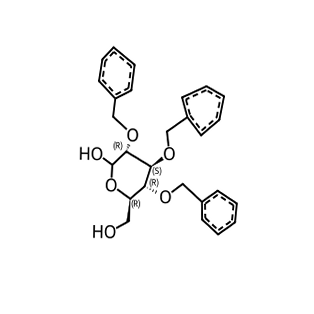 OC[C@H]1OC(O)[C@H](OCc2ccccc2)[C@@H](OCc2ccccc2)[C@@H]1OCc1ccccc1